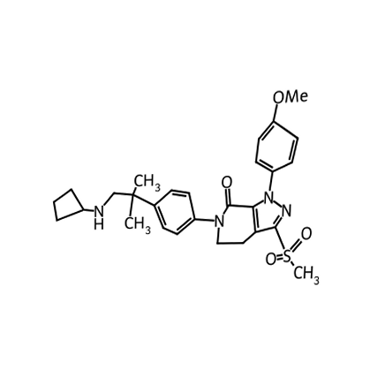 COc1ccc(-n2nc(S(C)(=O)=O)c3c2C(=O)N(c2ccc(C(C)(C)CNC4CCC4)cc2)CC3)cc1